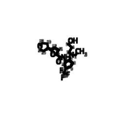 CCN(CCCO)c1ccc(C(F)(F)F)cc1NC(=O)c1ccc(C2CCOCC2)o1